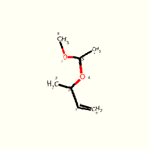 C=CC(C)OC(C)OC